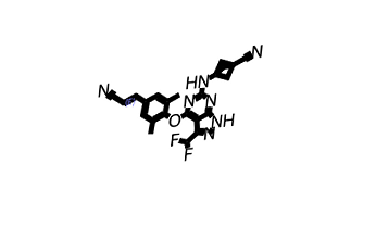 Cc1cc(/C=C/C#N)cc(C)c1Oc1nc(NC23CC(C#N)(C2)C3)nc2[nH]nc(C(F)F)c12